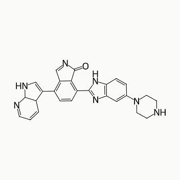 O=C1N=Cc2c(C3=CNC4N=CC=CC34)ccc(-c3nc4cc(N5CCNCC5)ccc4[nH]3)c21